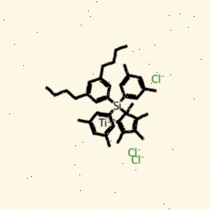 CCCCc1cc(CCCC)cc([Si](c2cc(C)cc(C)c2)(c2cc(C)cc(C)c2)C2(C)C(C)=C(C)C(C)=[C]2[Ti+3])c1.[Cl-].[Cl-].[Cl-]